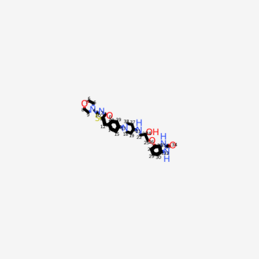 O=C1N=C(N2CCOCC2)SC1=Cc1ccc(N2CCC(NC[C@@H](O)COc3cccc4[nH]c(=O)[nH]c34)CC2)cc1